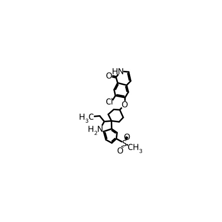 CCC(N)C1(c2cccc(S(C)(=O)=O)c2)CCC(Oc2cc3cc[nH]c(=O)c3cc2Cl)CC1